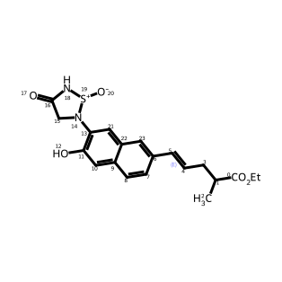 CCOC(=O)C(C)C/C=C/c1ccc2cc(O)c(N3CC(=O)N[S+]3[O-])cc2c1